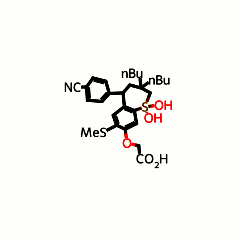 CCCCC1(CCCC)CC(c2ccc(C#N)cc2)c2cc(SC)c(OCC(=O)O)cc2S(O)(O)C1